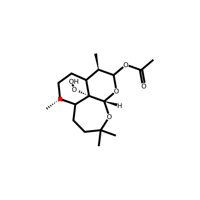 CC(=O)OC1O[C@@H]2OC(C)(C)CC[C@H]3[C@H](C)CCC([C@H]1C)[C@@]23OO